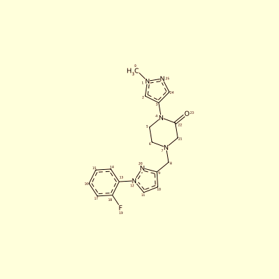 Cn1cc(N2CCN(Cc3ccn(-c4ccccc4F)n3)CC2=O)cn1